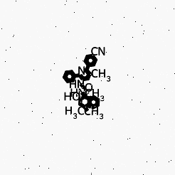 Cc1cc(NC(=O)N[C@@]2(C)c3ccccc3C(C)(C)C[C@H]2O)c(-c2ccccc2)nc1-c1ccc(C#N)cc1